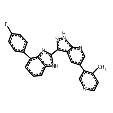 Cc1ccncc1-c1cnc2[nH]nc(-c3nc4c(-c5ccc(F)cc5)cccc4[nH]3)c2c1